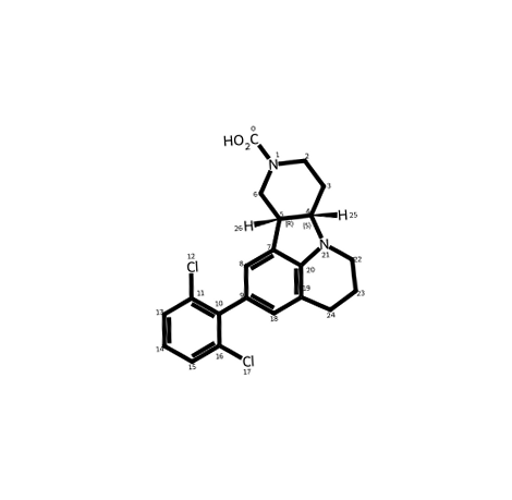 O=C(O)N1CC[C@H]2[C@@H](C1)c1cc(-c3c(Cl)cccc3Cl)cc3c1N2CCC3